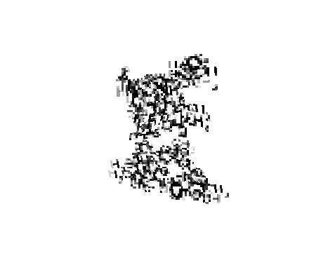 CC[C@H](C)[C@H](NC(=O)[C@@H](C(C)C)N(C)C(=O)CCCSC1=C(SCCCC(=O)N(C)[C@@H](C(=O)N[C@H](C(=O)N(C)[C@H](C[C@@H](OC(C)=O)c2nc(C(=O)N[C@@H](Cc3ccccc3)C3OC3(C)C(=O)O)cs2)C(C)C)[C@@H](C)CC)C(C)C)C(=O)N(CCOCCC(=O)NCC2CC2)C1=O)C(=O)N(C)[C@H](C[C@@H](OC(C)=O)c1nc(C(=O)N[C@@H](Cc2ccccc2)C2OC2(C)C(=O)O)cs1)C(C)C